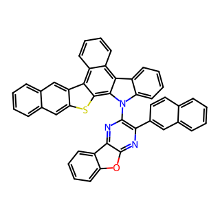 c1ccc2cc(-c3nc4oc5ccccc5c4nc3-n3c4ccccc4c4c5ccccc5c5c6cc7ccccc7cc6sc5c43)ccc2c1